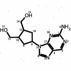 Nc1ncc2ncn(C3CC(CO)C(CO)C3)c2n1